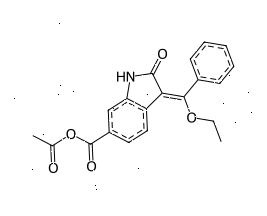 CCOC(=C1C(=O)Nc2cc(C(=O)OC(C)=O)ccc21)c1ccccc1